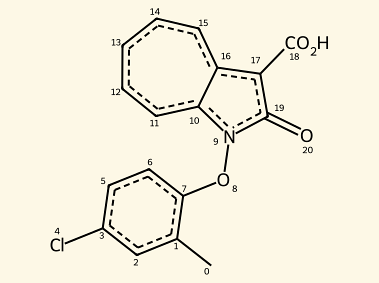 Cc1cc(Cl)ccc1On1c2cccccc-2c(C(=O)O)c1=O